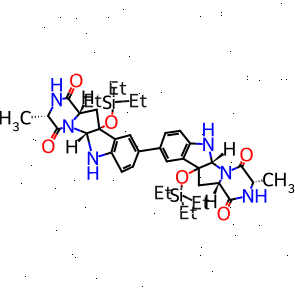 CC[Si](CC)(CC)OC12C[C@H]3C(=O)N[C@@H](C)C(=O)N3[C@H]1Nc1ccc(-c3ccc4c(c3)C3(O[Si](CC)(CC)CC)C[C@H]5C(=O)N[C@@H](C)C(=O)N5[C@H]3N4)cc12